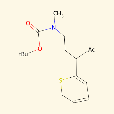 CC(=O)C(CCN(C)C(=O)OC(C)(C)C)C1=CC=CCS1